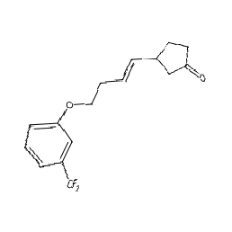 O=C1CCC(/C=C/CCOc2cccc(C(F)(F)F)c2)C1